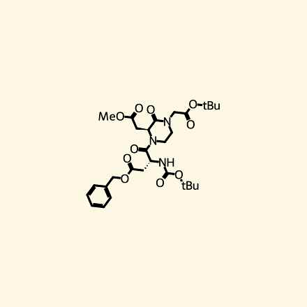 COC(=O)C[C@H]1C(=O)N(CC(=O)OC(C)(C)C)CCN1C(=O)[C@@H](CC(=O)OCc1ccccc1)NC(=O)OC(C)(C)C